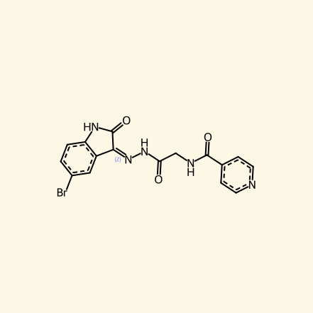 O=C(CNC(=O)c1ccncc1)N/N=C1\C(=O)Nc2ccc(Br)cc21